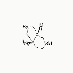 C1C[C@@H]2CNC[C@@H]2CN1